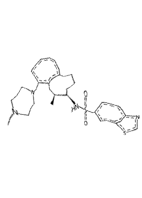 C[C@H]1c2c(cccc2N2CCN(C)CC2)CC[C@H]1NS(=O)(=O)c1ccc2ncsc2c1